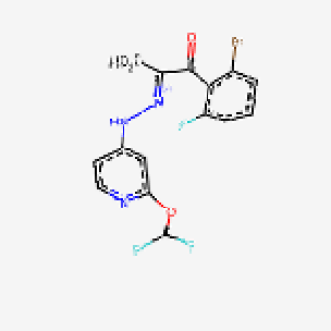 O=C(O)/C(=N\Nc1ccnc(OC(F)F)c1)C(=O)c1c(F)cccc1Br